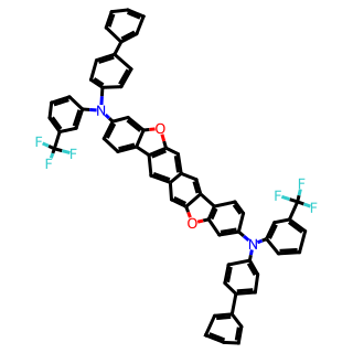 FC(F)(F)c1cccc(N(c2ccc(-c3ccccc3)cc2)c2ccc3c(c2)oc2cc4cc5c(cc4cc23)oc2cc(N(c3ccc(-c4ccccc4)cc3)c3cccc(C(F)(F)F)c3)ccc25)c1